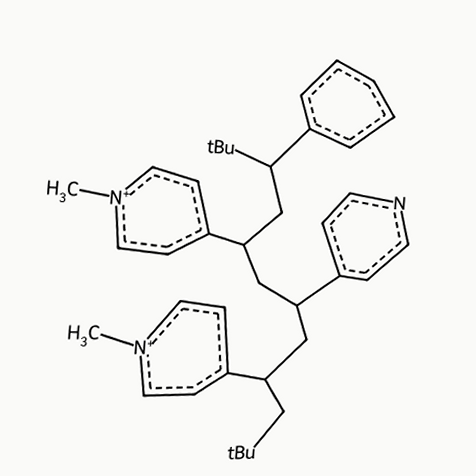 C[n+]1ccc(C(CC(CC(CC(C)(C)C)c2cc[n+](C)cc2)c2ccncc2)CC(c2ccccc2)C(C)(C)C)cc1